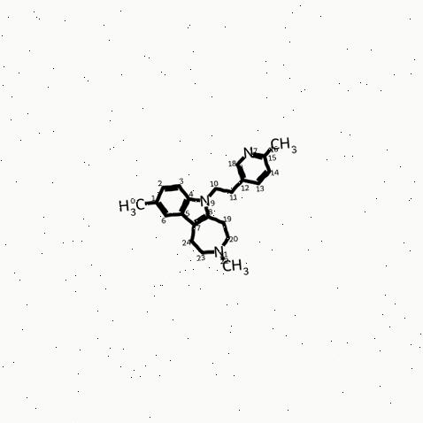 Cc1ccc2c(c1)c1c(n2CCc2ccc(C)nc2)CCN(C)CC1